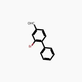 O=Cc1ccc(-c2ccccc2)c(Br)c1